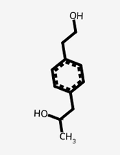 C[C](O)Cc1ccc(CCO)cc1